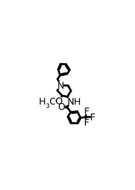 COC1CN(Cc2ccccc2)CCC1NC(=O)c1cccc(C(F)(F)F)c1